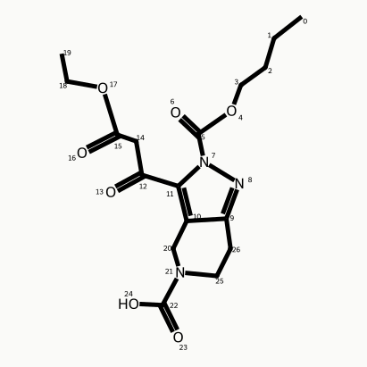 CCCCOC(=O)n1nc2c(c1C(=O)CC(=O)OCC)CN(C(=O)O)CC2